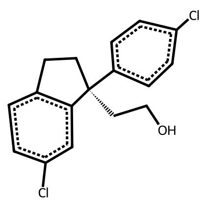 OCC[C@@]1(c2ccc(Cl)cc2)CCc2ccc(Cl)cc21